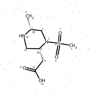 C[C@@H]1CN(S(C)(=O)=O)[C@H](CC(=O)O)CN1